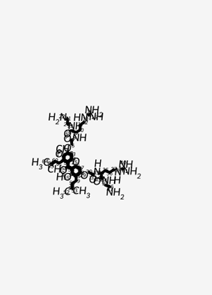 COc1c(OCC(=O)NC(CCCNC(=N)N)C(=O)NCCN)cc2oc3cc(OCC(=O)NC(CCCNC(=N)N)C(=O)NCCN)c(CC=C(C)C)c(O)c3c(=O)c2c1CC=C(C)C